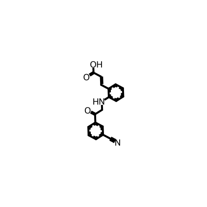 N#Cc1cccc(C(=O)CNc2ccccc2/C=C/C(=O)O)c1